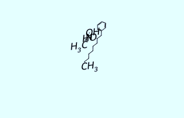 CC=NO.CCCCCCCC(O)Cc1ccccc1